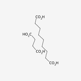 O=C(O)CCC(=O)O.O=C(O)CCCCCCCC(=O)O